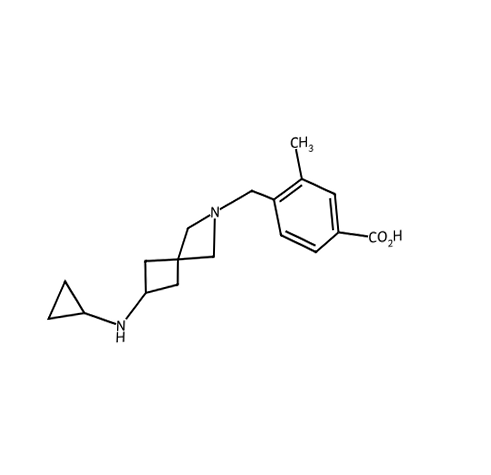 Cc1cc(C(=O)O)ccc1CN1CC2(CC(NC3CC3)C2)C1